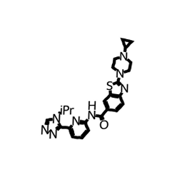 CC(C)n1cnnc1-c1cccc(NC(=O)c2ccc3nc(N4CCN(C5CC5)CC4)sc3c2)n1